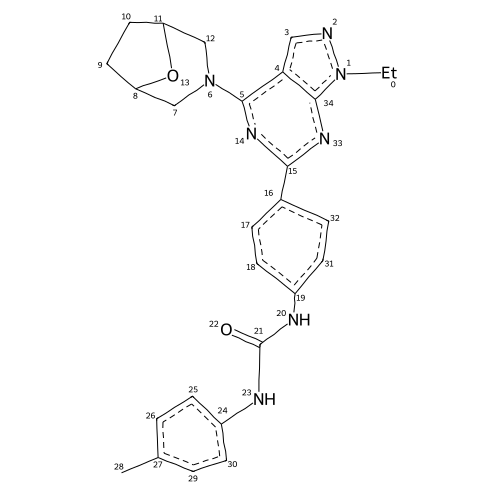 CCn1ncc2c(N3CC4CCC(C3)O4)nc(-c3ccc(NC(=O)Nc4ccc(C)cc4)cc3)nc21